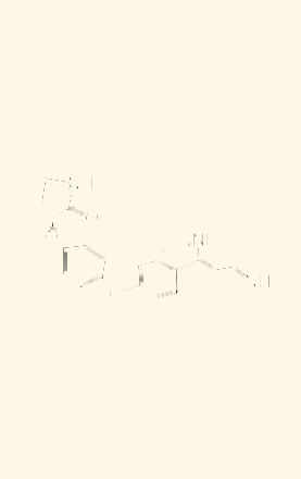 N=C/C=C(\N)c1ccc(Oc2ccc(O[C@H]3CCNC3=O)cc2)cc1